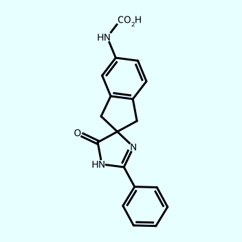 O=C(O)Nc1ccc2c(c1)CC1(C2)N=C(c2ccccc2)NC1=O